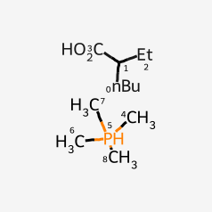 CCCCC(CC)C(=O)O.C[PH](C)(C)C